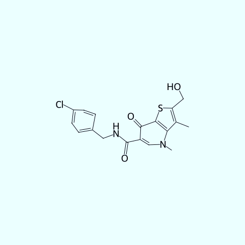 Cc1c(CO)sc2c(=O)c(C(=O)NCc3ccc(Cl)cc3)cn(C)c12